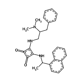 CC(Nc1c(NCC(Cc2ccccc2)N(C)C)c(=O)c1=O)c1cccc2ccccc12